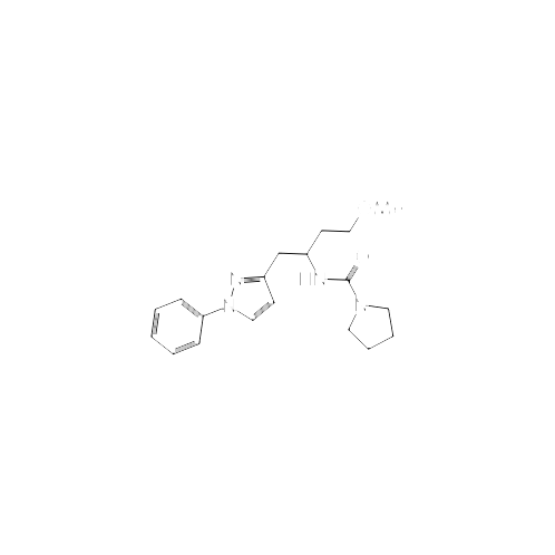 COCCC(Cc1ccn(-c2ccccc2)n1)NC(=O)N1CCCC1